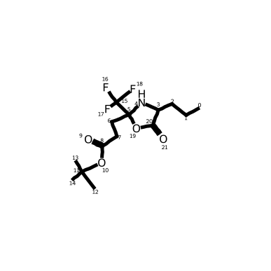 CCCC1NC(CCC(=O)OC(C)(C)C)(C(F)(F)F)OC1=O